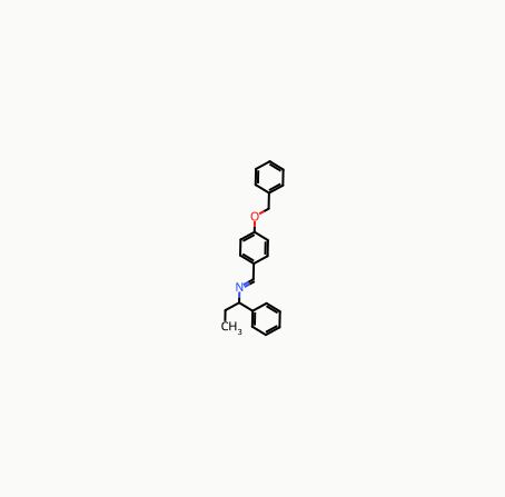 CCC(N=Cc1ccc(OCc2ccccc2)cc1)c1ccccc1